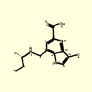 CC[C@H](C)NCc1cc(C(=O)O)nc2c(Cl)c[nH]c12